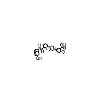 COc1ccc(N2CCN(c3cccc(C(=O)NC4C5CC6CC4CC(O)(C6)C5)n3)C(C)C2)cc1C(=O)O